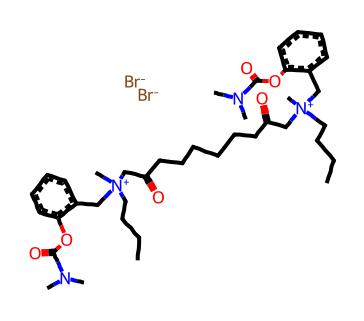 CCCC[N+](C)(CC(=O)CCCCCCC(=O)C[N+](C)(CCCC)Cc1ccccc1OC(=O)N(C)C)Cc1ccccc1OC(=O)N(C)C.[Br-].[Br-]